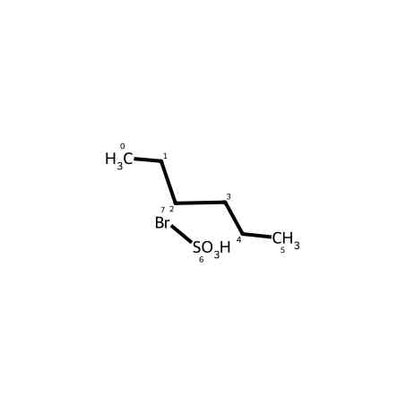 CCCCCC.O=S(=O)(O)Br